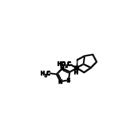 Cc1nsc(N2CC3CCC(C2)C3NC(=O)O)n1